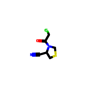 N#CC1CSCN1C(=O)CCl